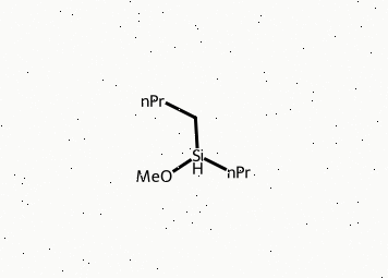 CCCC[SiH](CCC)OC